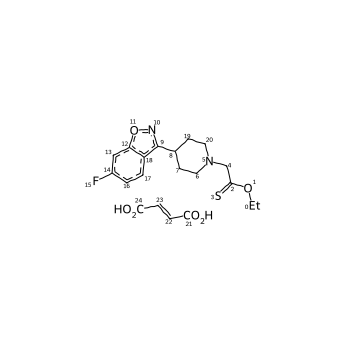 CCOC(=S)CN1CCC(c2noc3cc(F)ccc23)CC1.O=C(O)/C=C/C(=O)O